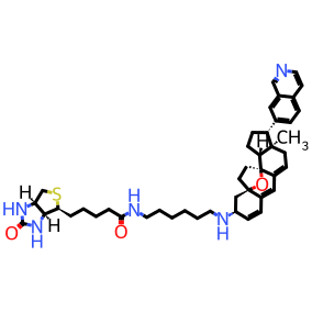 C[C@]12CC=C3C=C4C=C[C@@H](NCCCCCCNC(=O)CCCC[C@@H]5SC[C@@H]6NC(=O)N[C@@H]65)C[C@]45CC[C@]3(O5)[C@@H]1CC[C@@H]2c1ccc2ccncc2c1